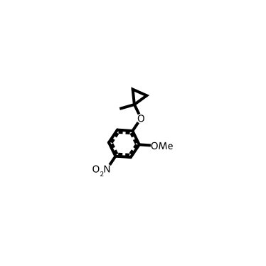 COc1cc([N+](=O)[O-])ccc1OC1(C)CC1